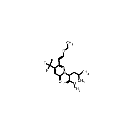 CCOC=Cc1nn(C(CC(C)C)C(=O)OC)c(=O)cc1C(F)(F)F